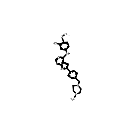 COc1ccc(Nc2ncnc3[nH]c(-c4ccc(CN5CCN(C)CC5)cc4)cc23)cc1O